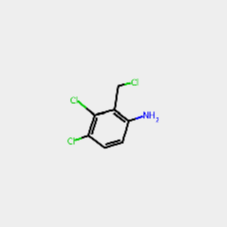 Nc1ccc(Cl)c(Cl)c1CCl